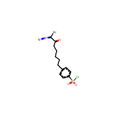 CC(=O)C(=[N+]=[N-])C(=O)CCCCCc1ccc(S(=O)(=O)Cl)cc1